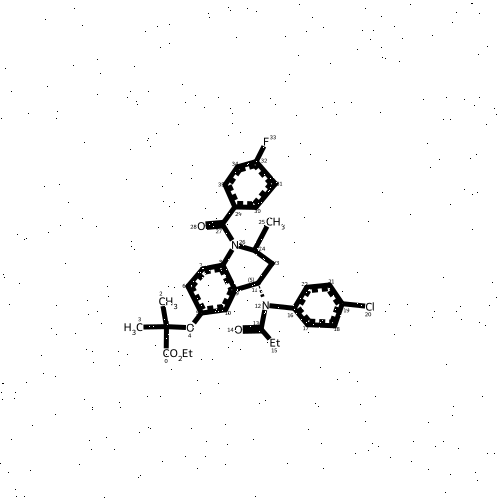 CCOC(=O)C(C)(C)Oc1ccc2c(c1)[C@@H](N(C(=O)CC)c1ccc(Cl)cc1)CC(C)N2C(=O)c1ccc(F)cc1